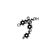 O=C(NCCO)C(=Cc1ccc(Cl)cc1)NC(=O)c1ccc(OCCc2ccc(F)cc2)cc1